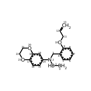 BBN(Cc1ccccc1OCC=C)c1ccc2c(c1)OCCO2